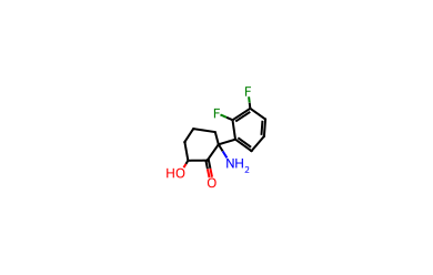 NC1(c2cccc(F)c2F)CCCC(O)C1=O